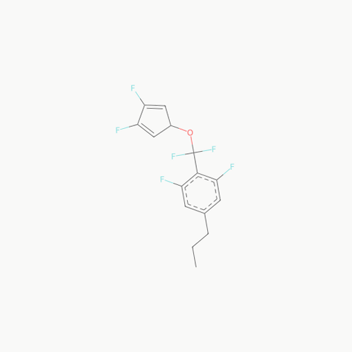 CCCc1cc(F)c(C(F)(F)OC2C=C(F)C(F)=C2)c(F)c1